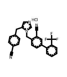 Cl.N#Cc1ccc(Cc2cncn2Cc2ccc(-c3ccccc3C(F)(F)F)cc2C#N)cc1